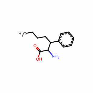 CCCCC(c1ccccc1)C(N)C(=O)O